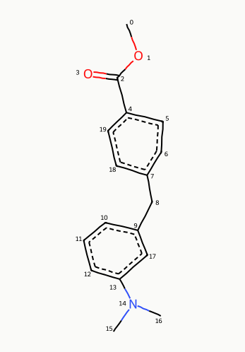 COC(=O)c1ccc(Cc2cccc(N(C)C)c2)cc1